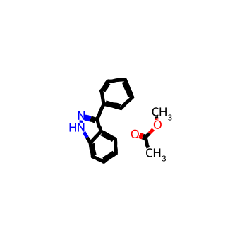 COC(C)=O.c1ccc(-c2n[nH]c3ccccc23)cc1